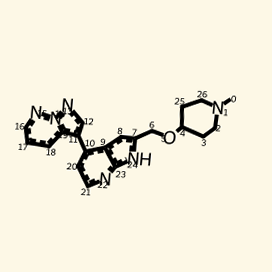 CN1CCC(OCc2cc3c(-c4cnn5ncccc45)ccnc3[nH]2)CC1